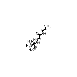 CCCNC(=O)CNNC(N)(N)CC